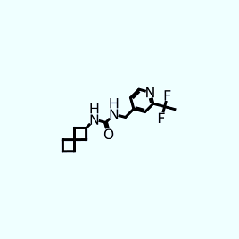 CC(F)(F)c1cc(CNC(=O)NC2CC3(CCC3)C2)ccn1